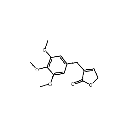 COc1cc(CC2=CCOC2=O)cc(OC)c1OC